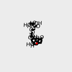 COc1ccc2c3c1O[C@H]1C(OC(=O)[C@H](C)OC(=O)C[C@H](NC(=O)[C@H](C)O)C(=O)O)=CC[C@@]4(O)[C@H](CCC[C@]314)C2